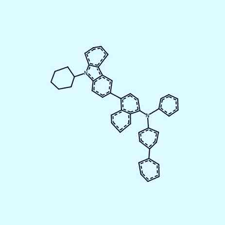 c1ccc(-c2ccc(N(c3ccccc3)c3ccc(-c4ccc5c(c4)c4ccccc4n5C4CCCCC4)c4ccccc34)cc2)cc1